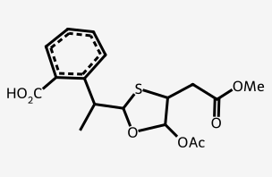 COC(=O)CC1SC(C(C)c2ccccc2C(=O)O)OC1OC(C)=O